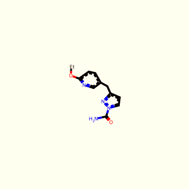 CCOc1ccc(Cc2ccn(C(N)=O)n2)cn1